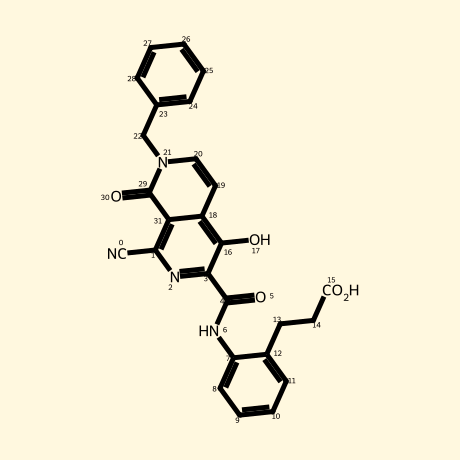 N#Cc1nc(C(=O)Nc2ccccc2CCC(=O)O)c(O)c2ccn(Cc3ccccc3)c(=O)c12